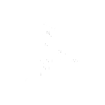 COc1ccc(C2CN(c3ccn(S(C)(=O)=O)n3)CCC2NC(=O)Nc2ccc(Cl)cc2)nc1